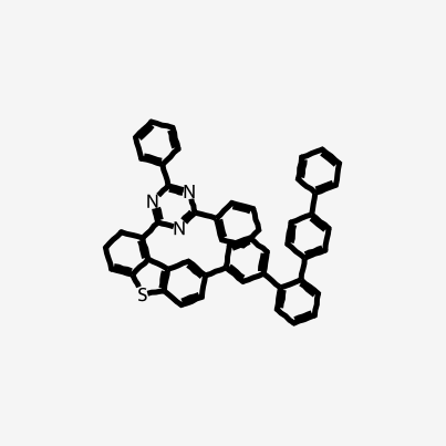 C1=CC(c2nc(C3=c4c(sc5ccc(-c6cccc(-c7ccccc7-c7ccc(-c8ccccc8)cc7)c6)cc45)=CCC3)nc(-c3ccccc3)n2)=CCC1